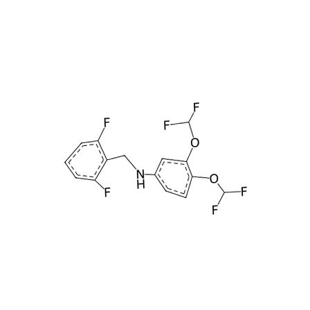 Fc1cccc(F)c1CNc1ccc(OC(F)F)c(OC(F)F)c1